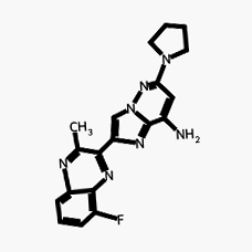 Cc1nc2cccc(F)c2nc1-c1cn2nc(N3CCCC3)cc(N)c2n1